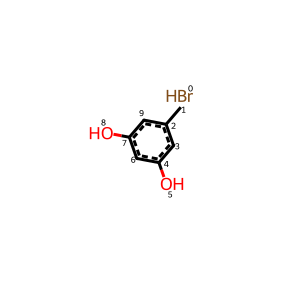 Br.Cc1cc(O)cc(O)c1